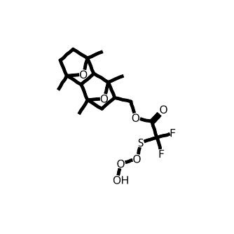 CC12CCC(C)(O1)C1C2C2(C)CC(COC(=O)C(F)(F)SOOO)C1(C)O2